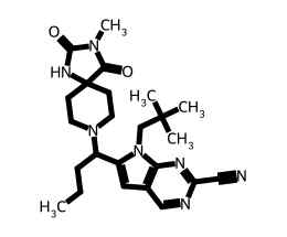 CCCC(c1cc2cnc(C#N)nc2n1CC(C)(C)C)N1CCC2(CC1)NC(=O)N(C)C2=O